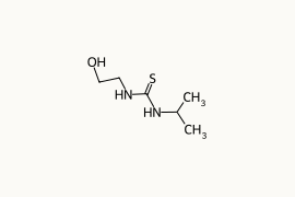 CC(C)NC(=S)NCCO